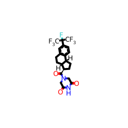 O=C1CN(C(=O)[C@@H]2CC[C@H]3c4ccc(C(F)(C(F)(F)F)C(F)(F)F)cc4CC[C@@H]23)CC(=O)N1